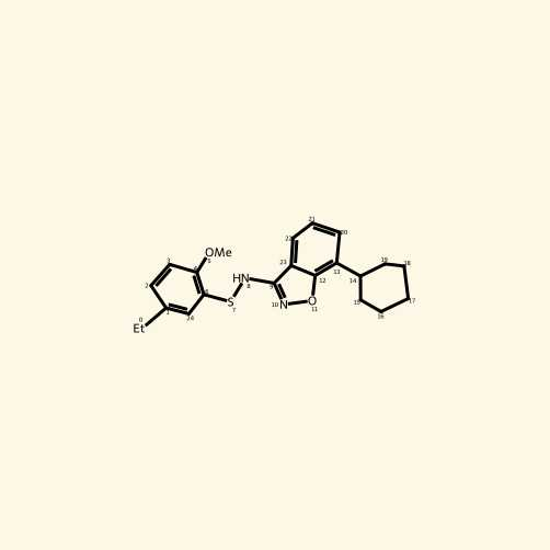 CCc1ccc(OC)c(SNc2noc3c(C4CCCCC4)cccc23)c1